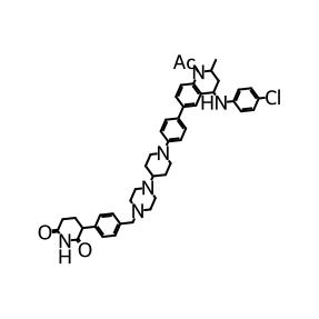 CC(=O)N1c2ccc(-c3ccc(N4CCC(N5CCN(Cc6ccc(C7CCC(=O)NC7=O)cc6)CC5)CC4)cc3)cc2C(Nc2ccc(Cl)cc2)CC1C